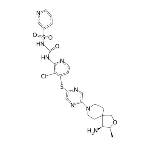 C[C@@H]1OCC2(CCN(c3cnc(Sc4ccnc(NC(=O)NS(=O)(=O)c5cccnc5)c4Cl)cn3)CC2)[C@@H]1N